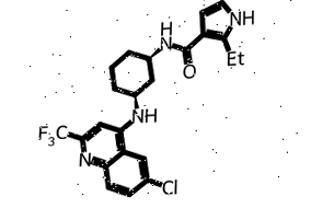 CCc1[nH]ccc1C(=O)N[C@@H]1CCC[C@H](Nc2cc(C(F)(F)F)nc3ccc(Cl)cc23)C1